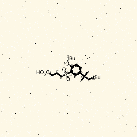 CCCCOc1ccc(C(C)(C)CC(C)(C)C)cc1S(=O)(=O)CCCC(=O)O